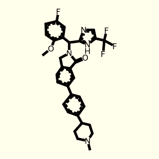 COc1ccc(F)cc1C(c1ncc(C(F)(F)F)[nH]1)N1Cc2ccc(-c3ccc(C4CCN(C)CC4)cc3)cc2C1=O